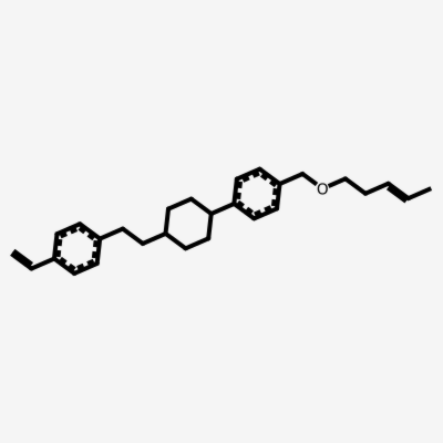 C=Cc1ccc(CCC2CCC(c3ccc(COCCC=CC)cc3)CC2)cc1